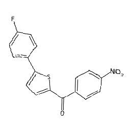 O=C(c1ccc([N+](=O)[O-])cc1)c1ccc(-c2ccc(F)cc2)s1